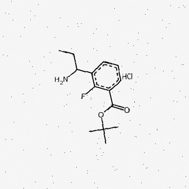 CCC(N)c1cccc(C(=O)OC(C)(C)C)c1F.Cl